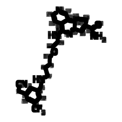 N#CCc1cc(CNCCCCOCCNc2nc3cc(C(N)=O)ccc3c3cnccc23)cc(C(F)(F)F)c1